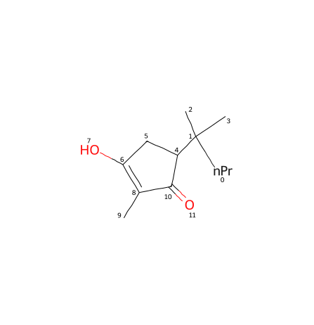 CCCC(C)(C)C1CC(O)=C(C)C1=O